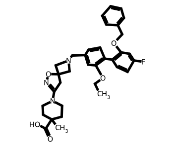 CCOc1cc(CN2CC3(CC(N4CCC(C)(C(=O)O)CC4)=NO3)C2)ccc1-c1ccc(F)cc1OCc1ccccc1